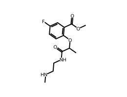 CNCCNC(=O)C(C)Oc1ccc(F)cc1C(=O)OC